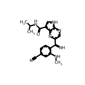 CNc1cc(C#N)ccc1C(=N)c1cnc2[nH]cc(C(=O)NC(C)C)c2n1